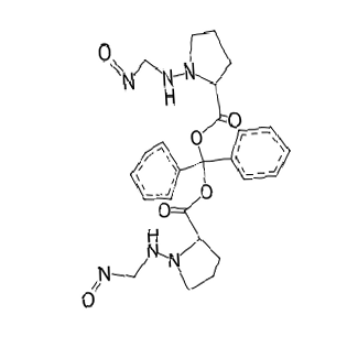 O=NCNN1CCCC1C(=O)OC(OC(=O)C1CCCN1NCN=O)(c1ccccc1)c1ccccc1